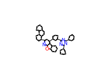 c1ccc(-c2nc(-c3ccccc3)nc(-c3cccc(-c4cc(-c5cccc6c5ccc5ccccc56)nc5oc6ccccc6c45)c3)n2)cc1